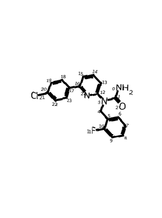 NC(=O)N(Cc1ccccc1F)c1cccc(-c2ccc(Cl)cc2)n1